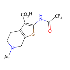 CC(=O)N1CCc2c(sc(NC(=O)C(F)(F)F)c2C(=O)O)C1